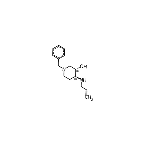 C=CCN[C@H]1CCN(Cc2ccccc2)C[C@@H]1O